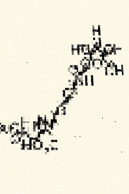 CC(C)(C)OC(=O)N[C@@H](Cc1cn(CCOCCOCCNC(=O)CO[C@@H]2O[C@H](CO)[C@@H](O)[C@H](O)[C@H]2O)nn1)C(=O)O